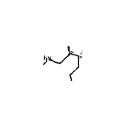 CCC[C@@H](C)[C@H](C)CNC